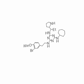 CCC(Nc1nc(NCCc2ccc(OC)c(Br)c2)nc(NC2CCCCCC2)n1)C1CCCN1